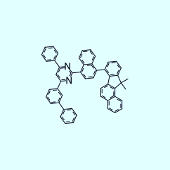 CC1(C)c2cccc(-c3ccc(-c4nc(-c5ccccc5)cc(-c5cccc(-c6ccccc6)c5)n4)c4ccccc34)c2-c2ccc3ccccc3c21